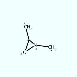 CC1ON1C